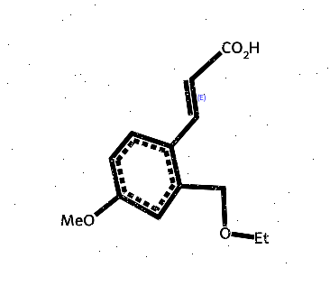 CCOCc1cc(OC)ccc1/C=C/C(=O)O